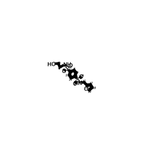 O=S(=O)(NCCO)c1ccc(S(=O)(=O)NCc2ccco2)cc1